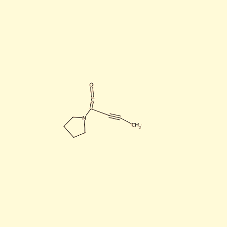 [CH2]C#CC(=C=O)N1CCCC1